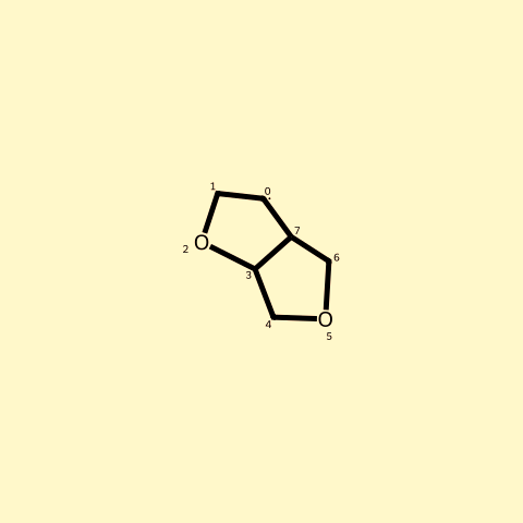 [CH]1COC2COCC12